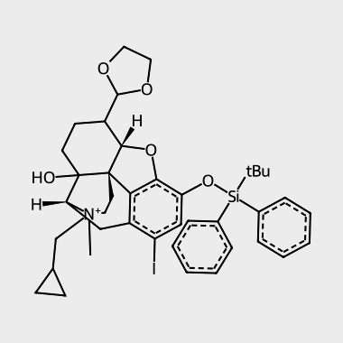 CC(C)(C)[Si](Oc1cc(I)c2c3c1O[C@H]1C(C4OCCO4)CCC4(O)[C@@H](C2)[N+](C)(CC2CC2)CC[C@]314)(c1ccccc1)c1ccccc1